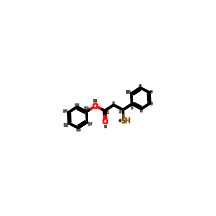 O=C(CC(S)c1ccccc1)Oc1ccccc1